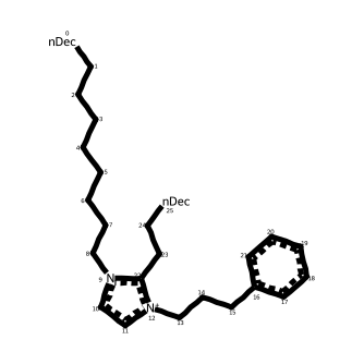 CCCCCCCCCCCCCCCCCCn1cc[n+](CCCc2ccccc2)c1CCCCCCCCCCCC